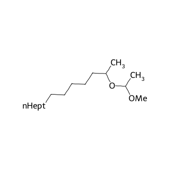 CCCCCCCCCCCCC(C)OC(C)OC